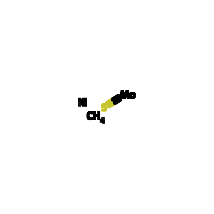 C.[Ni].[S]=[Mo]